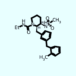 CCNC(=O)N1CCC[C@@H](NS(C)(=O)=O)[C@H]1Cc1cccc(Cc2ccccc2C)c1